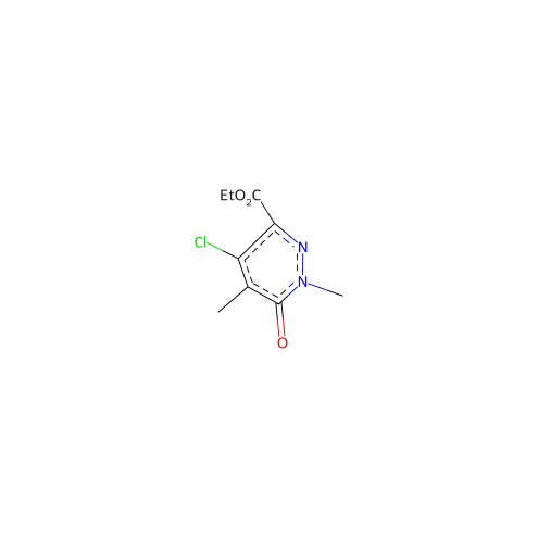 CCOC(=O)c1nn(C)c(=O)c(C)c1Cl